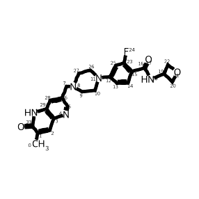 Cc1cc2ncc(CN3CCN(c4ccc(C(=O)NC5COC5)c(F)c4)CC3)cc2[nH]c1=O